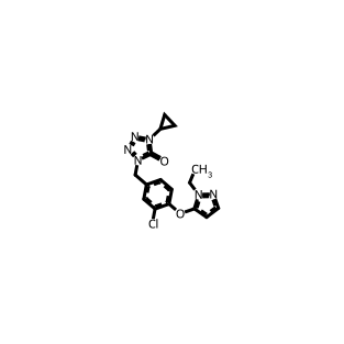 CCn1nccc1Oc1ccc(Cn2nnn(C3CC3)c2=O)cc1Cl